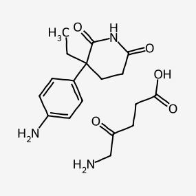 CCC1(c2ccc(N)cc2)CCC(=O)NC1=O.NCC(=O)CCC(=O)O